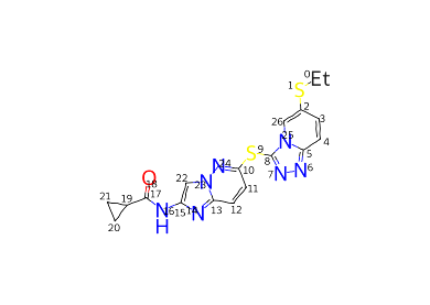 CCSc1ccc2nnc(Sc3ccc4nc(NC(=O)C5CC5)cn4n3)n2c1